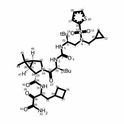 CC(C)(C)[C@H](NC(=O)N[C@H](CN(CC1CC1)S(=O)(=O)c1cccs1)C(C)(C)C)C(=O)N1C[C@H]2[C@@H]([C@H]1C(=O)NC(CC1CCC1)C(=O)C(N)=O)C2(C)C